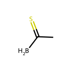 BC(C)=S